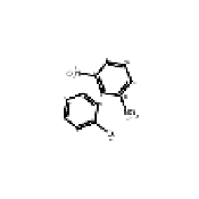 CCc1ccccc1.O=[N+]([O-])c1cccc([N+](=O)[O-])c1